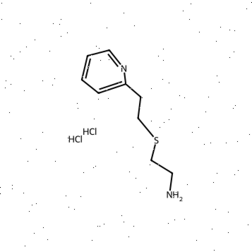 Cl.Cl.NCCSCCc1ccccn1